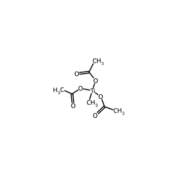 CC(=O)[O][Ti]([CH3])([O]C(C)=O)[O]C(C)=O